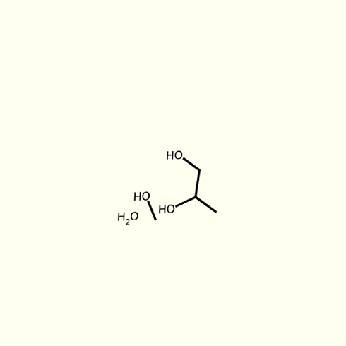 CC(O)CO.CO.O